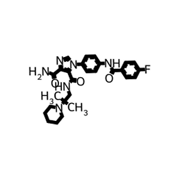 CC(C)(CNC(=O)c1c(C(N)=O)ncn1-c1ccc(NC(=O)c2ccc(F)cc2)cc1)N1CCCCC1